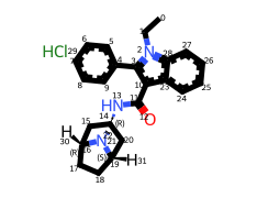 CCn1c(-c2ccccc2)c(C(=O)N[C@H]2C[C@H]3CC[C@@H](C2)N3C)c2ccccc21.Cl